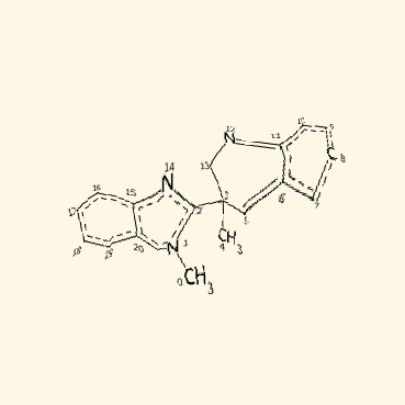 Cn1c(C2(C)C=c3ccccc3=NC2)nc2ccccc21